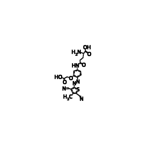 Cc1c(C#N)sc(/N=N/c2ccc(NC(=O)CCC(N)C(=O)O)cc2OCC(=O)O)c1C#N